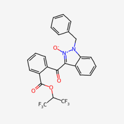 O=C(OC(C(F)(F)F)C(F)(F)F)c1ccccc1C(=O)c1c2ccccc2n(Cc2ccccc2)[n+]1[O-]